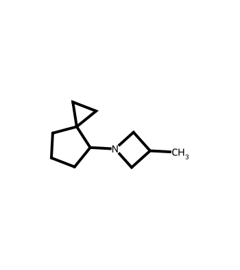 CC1CN(C2CCCC23CC3)C1